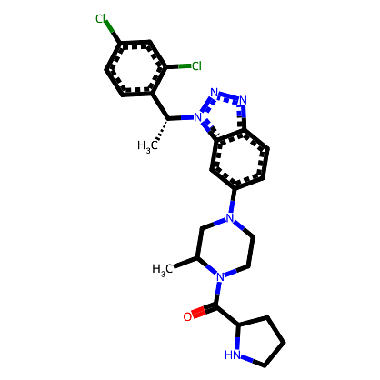 CC1CN(c2ccc3nnn([C@H](C)c4ccc(Cl)cc4Cl)c3c2)CCN1C(=O)C1CCCN1